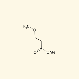 COC(=O)CCOC(F)(F)F